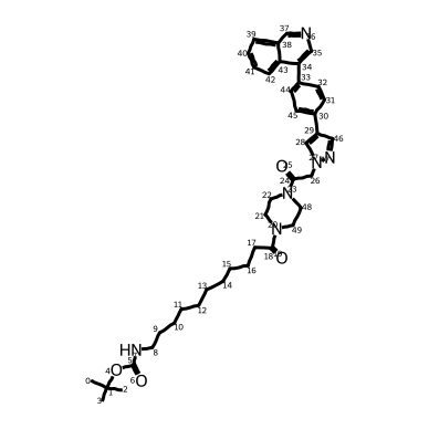 CC(C)(C)OC(=O)NCCCCCCCCCCC(=O)N1CCN(C(=O)Cn2cc(-c3ccc(-c4cncc5ccccc45)cc3)cn2)CC1